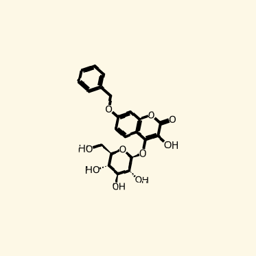 O=c1oc2cc(OCc3ccccc3)ccc2c(O[C@@H]2O[C@H](CO)[C@@H](O)[C@H](O)[C@H]2O)c1O